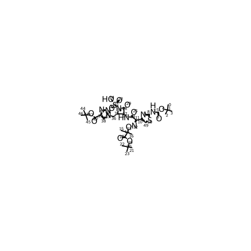 CC(C)(C)OC(=O)Nc1nc(/C(=N/OC(C)(C)C(=O)OC(C)(C)C)C(=O)N[C@@H]2C(=O)N(S(=O)(=O)O)[C@@H]2Cn2cc(C(=O)OC(C)(C)C)nn2)cs1